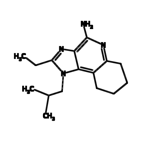 CCc1nc2c(N)nc3c(c2n1CC(C)C)CCCC3